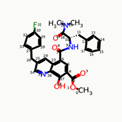 COC(=O)c1cc(C(=O)N[C@@H](Cc2ccccc2)C(=O)N(C)C)c2cc(Cc3ccc(F)cc3)cnc2c1O